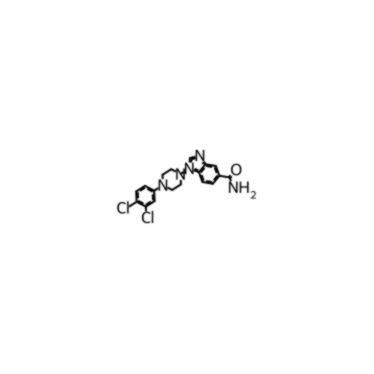 NC(=O)c1ccc2c(c1)ncn2N1CCN(c2ccc(Cl)c(Cl)c2)CC1